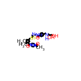 CC(=O)N1CCN(C(=O)c2cc(CSc3cnc(NC(=O)c4ccc(CNC[C@@H](O)CO)cc4)s3)cc(C)c2C)CC1